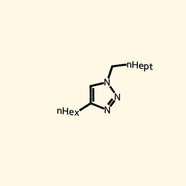 CCCCCCCCn1cc(CCCCCC)nn1